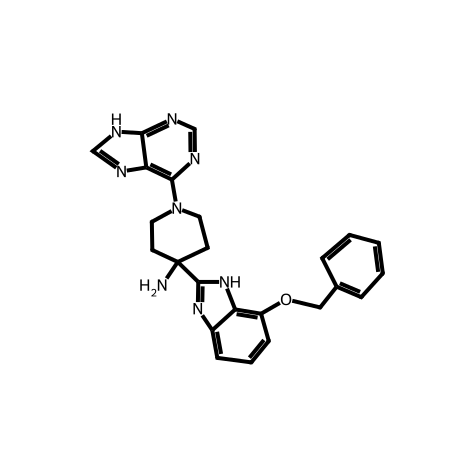 NC1(c2nc3cccc(OCc4ccccc4)c3[nH]2)CCN(c2ncnc3[nH]cnc23)CC1